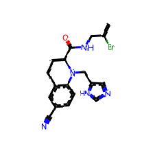 C=C(Br)CNC(=O)C1[CH]Cc2cc(C#N)ccc2N1Cc1cnc[nH]1